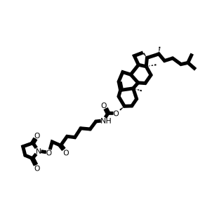 CC(C)CCC[C@@H](C)[C@H]1CCC2C3CC=C4C[C@@H](OC(=O)NCCCCCC(=O)CON5C(=O)CCC5=O)CC[C@]4(C)C3CC[C@@]21C